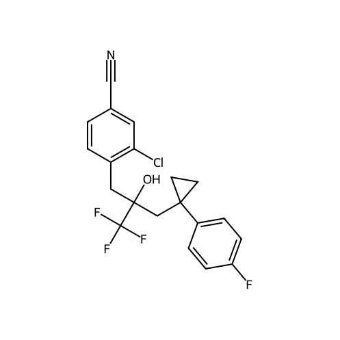 N#Cc1ccc(CC(O)(CC2(c3ccc(F)cc3)CC2)C(F)(F)F)c(Cl)c1